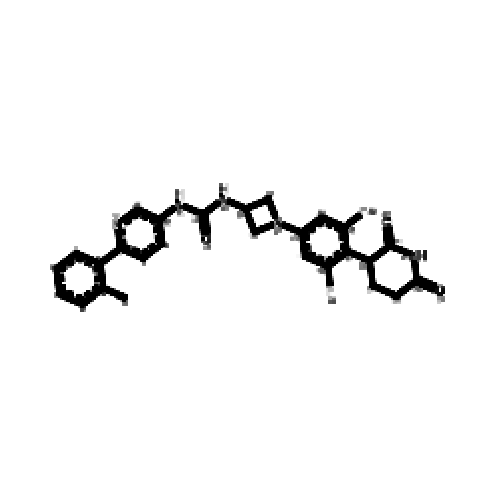 Cc1ccccc1-c1ccc(NC(=O)NC2CN(c3cc(F)c(C4CCC(=O)NC4=O)c(F)c3)C2)cn1